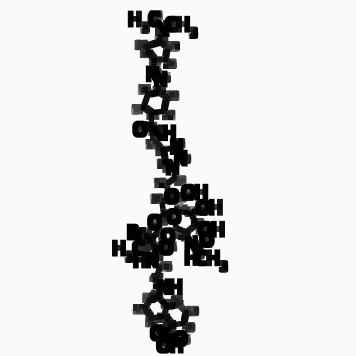 CC(=O)N[C@H]1[C@H](O[C@@H](OCCOCCn2cc(CNC(=O)c3ccc(/N=N/c4ccc(N(C)C)cc4)cc3)nn2)C(C)(Br)C(=O)NCCNc2cccc3c(S(=O)(=O)O)cccc23)O[C@H](CO)[C@@H](O)[C@@H]1O